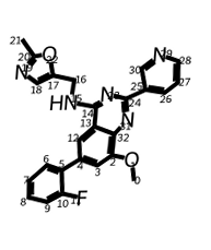 COc1cc(-c2ccccc2F)cc2c(NCc3cnc(C)o3)nc(-c3cccnc3)nc12